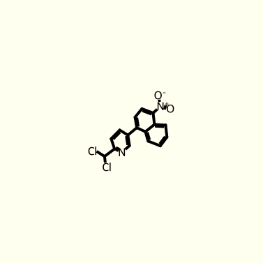 O=[N+]([O-])c1ccc(-c2ccc(C(Cl)Cl)nc2)c2ccccc12